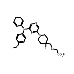 O=C(O)COCC1(F)CCN(c2cncc(N(C3=CCCC=C3)c3ccc(OC(F)(F)F)cc3)n2)CC1